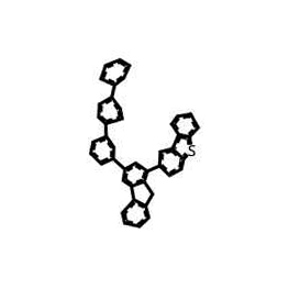 c1ccc(-c2ccc(-c3cccc(-c4cc(-c5ccc6sc7ccccc7c6c5)c5c(c4)-c4ccccc4C5)c3)cc2)cc1